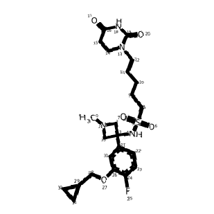 CN1CC(NS(=O)(=O)CCCCCN2CCC(=O)NC2=O)(c2ccc(F)c(OCC3CC3)c2)C1